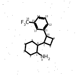 NC1CCCCC1C1CC[C]1c1cccc(C(F)(F)F)c1